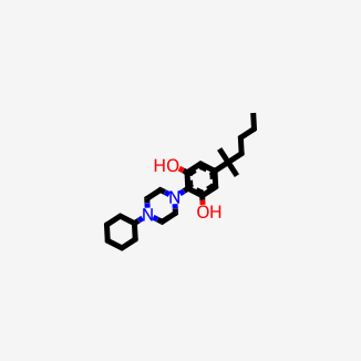 CCCCC(C)(C)c1cc(O)c(N2CCN(C3CCCCC3)CC2)c(O)c1